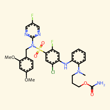 COc1ccc(CN(c2ncc(F)cn2)S(=O)(=O)c2cc(Cl)c(Nc3ccccc3N(C)CCCOC(N)=O)cc2F)c(OC)c1